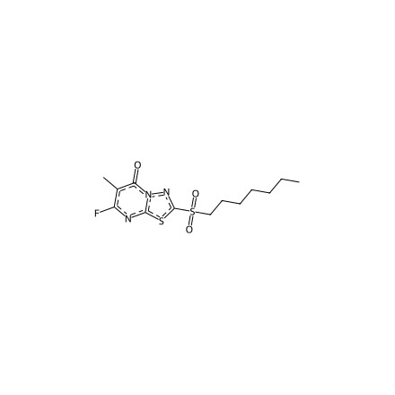 CCCCCCCS(=O)(=O)c1nn2c(=O)c(C)c(F)nc2s1